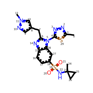 Cc1nnc(-n2c(Cc3cnn(C)c3)nc3ccc(S(=O)(=O)NC4(C)CC4)cc32)s1